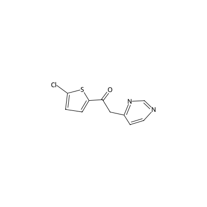 O=C(Cc1ccncn1)c1ccc(Cl)s1